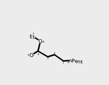 CCCCCCCCC([O])OCC